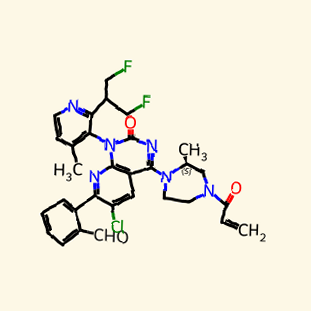 C=CC(=O)N1CCN(c2nc(=O)n(-c3c(C)ccnc3C(CF)CF)c3nc(-c4ccccc4C=O)c(Cl)cc23)[C@@H](C)C1